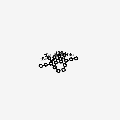 CC(C)(C)c1cc(N(c2cc(-c3ccc(C4CCCCC4)cc3)cc(-c3ccc(C4CCCCC4)cc3)c2)c2c3ccccc3c(-c3c4ccccc4c(N(c4cc(-c5ccc(C6CCCCC6)cc5)cc(-c5ccc(C6CCCCC6)cc5)c4)c4cc(C(C)(C)C)cc(C(C)(C)C)c4)c4cc(C(C)(C)C)ccc34)c3cc(C(C)(C)C)ccc23)cc(C(C)(C)C)c1